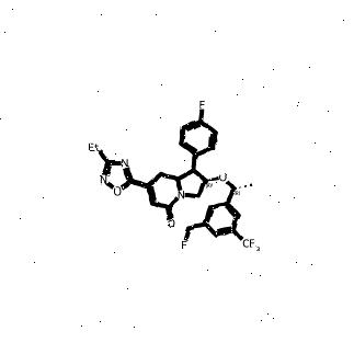 CCc1noc(C2=CC(=O)N3C[C@H](O[C@H](C)c4cc(CF)cc(C(F)(F)F)c4)C(c4ccc(F)cc4)C3C2)n1